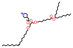 CCCCCCCC/C=C\CCCCCCCCOCC1OC(C)(CC2CCN(C)CC2)OC1COCCCCCCCC(=O)OC(CCCCCCCC)CCCCCCCC